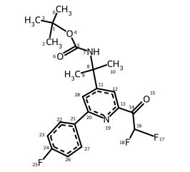 CC(C)(C)OC(=O)NC(C)(C)c1cc(C(=O)C(F)F)nc(-c2ccc(F)cc2)c1